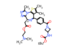 Cc1sc2c(c1C)C(c1ccc(C(=O)N3CC(NC(=O)OC(C)(C)C)C3)cc1)=N[C@@H](CC(=O)OCCN(C)C)c1nnc(C)n1-2